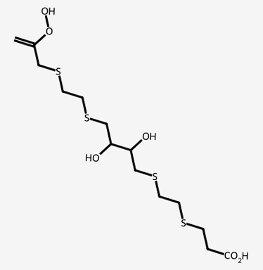 C=C(CSCCSCC(O)C(O)CSCCSCCC(=O)O)OO